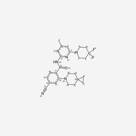 Cc1cc(N2CCC(F)(F)CC2)nc(NC(=O)c2ccc(C#N)cc2N2CCC3(CC2)CC3)n1